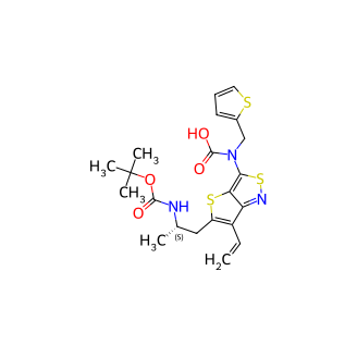 C=Cc1c(C[C@H](C)NC(=O)OC(C)(C)C)sc2c(N(Cc3cccs3)C(=O)O)snc12